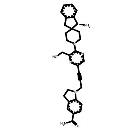 NC(=O)c1ccc2c(c1)CCN2CC#Cc1cnc(N2CCC3(CC2)Cc2ccccc2[C@H]3N)c(CO)n1